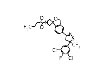 O=S(=O)(CCC(F)(F)F)N1CC2(C1)OCc1cc(C3=NSC(c4cc(Cl)c(F)c(Cl)c4)(C(F)(F)F)C3)ccc12